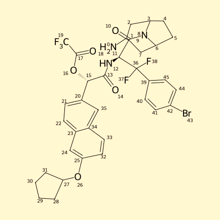 NC1CC2CCC(C1)N2C(=O)[C@H](NC(=O)[C@@H](OC(=O)C(F)(F)F)c1ccc2cc(OC3CCCC3)ccc2c1)C(F)(F)c1ccc(Br)cc1